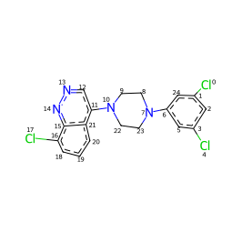 Clc1cc(Cl)cc(N2CCN(c3cnnc4c(Cl)cccc34)CC2)c1